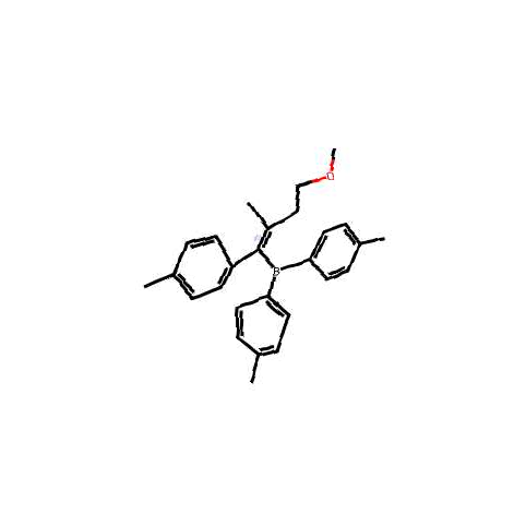 COCC/C(C)=C(\B(c1ccc(C)cc1)c1ccc(C)cc1)c1ccc(C)cc1